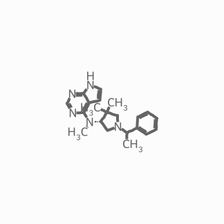 CC(c1ccccc1)N1C[C@H](N(C)c2ncnc3[nH]ccc23)C(C)(C)C1